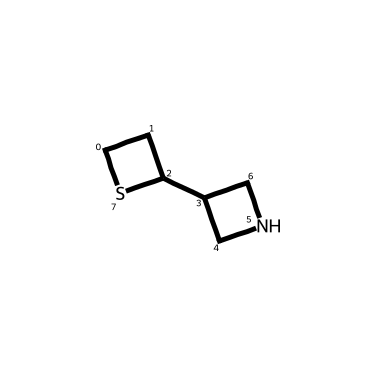 C1CC(C2CNC2)S1